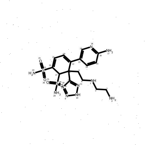 NCCNCCC1(c2nn[nH]n2)C(c2ccc(N)nc2)=CC=C(S(N)(=O)=O)C1S(N)(=O)=O